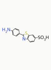 Nc1ccc(-c2nc3ccc(S(=O)(=O)O)cc3s2)cc1